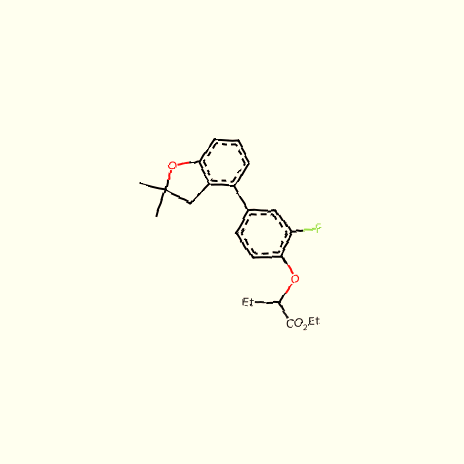 CCOC(=O)C(CC)Oc1ccc(-c2cccc3c2CC(C)(C)O3)cc1F